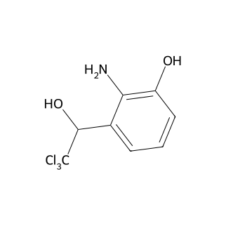 Nc1c(O)cccc1C(O)C(Cl)(Cl)Cl